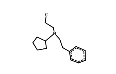 ClCCN(CCc1ccccc1)C1CCCC1